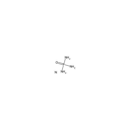 NP(N)(N)=O.[N]